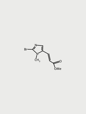 COC(=O)/C=C/c1cnc(Br)n1C